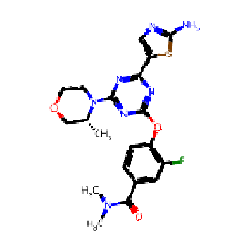 C[C@@H]1COCCN1c1nc(Oc2ccc(C(=O)N(C)C)cc2F)nc(-c2cnc(N)s2)n1